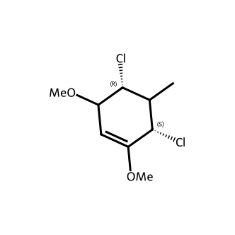 COC1=CC(OC)[C@H](Cl)C(C)[C@@H]1Cl